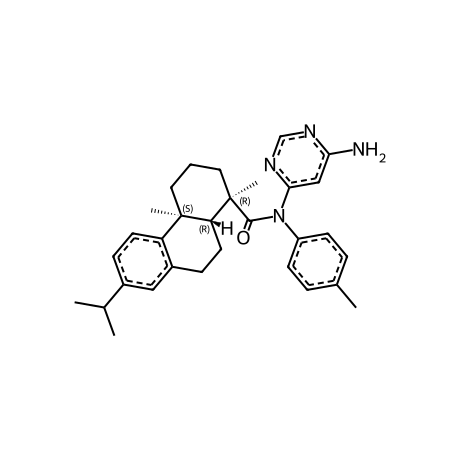 Cc1ccc(N(C(=O)[C@]2(C)CCC[C@]3(C)c4ccc(C(C)C)cc4CC[C@@H]23)c2cc(N)ncn2)cc1